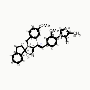 COc1ccc(CN2C(/C=C/c3ccc(-n4cnc(C)c4Cl)c(OC)c3)=NOC23CCc2ccccc23)cc1